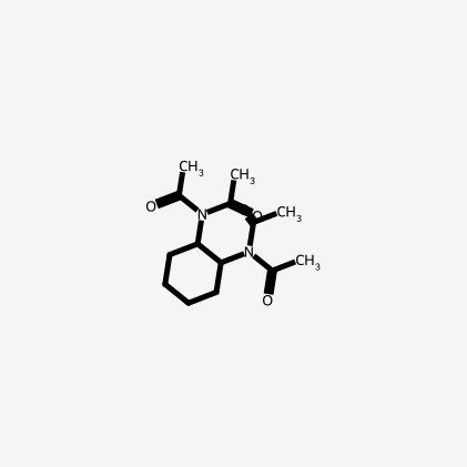 CC(=O)N(C(C)=O)C1CCCCC1N(C(C)=O)C(C)=O